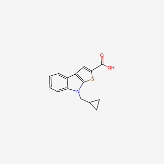 O=C(O)c1cc2c3ccccc3n(CC3CC3)c2s1